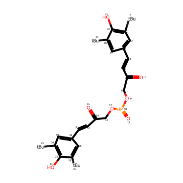 CC(C)(C)c1cc(C=CC(=O)CO[PH](=O)OCC(=O)C=Cc2cc(C(C)(C)C)c(O)c(C(C)(C)C)c2)cc(C(C)(C)C)c1O